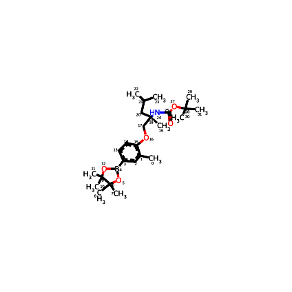 Cc1cc(B2OC(C)(C)C(C)(C)O2)ccc1OC[C@](C)(CC(C)C)NC(=O)OC(C)(C)C